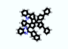 c1ccc(-c2ccc(C3(c4ccc(-c5ccccc5)cc4)c4ccc(-c5nc6ccccc6nc5-c5ccc6ccccc6c5)c5c4-c4c3ccc3c6ccccc6n(c43)-c3ccccc3-5)cc2)cc1